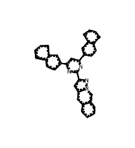 c1ccc2cc(-c3cc(-c4ccc5ccccc5c4)nc(-c4cc5cc6ccccc6cn5n4)n3)ccc2c1